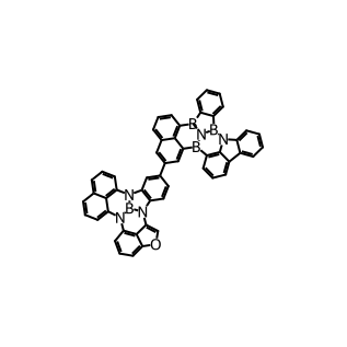 c1ccc2c(c1)B1c3cccc4cc(-c5ccc6c(c5)N5B7N6c6coc8cccc(c68)N7c6cccc7cccc5c67)cc(c34)B3c4cccc5c6ccccc6n(c45)B2N13